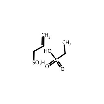 C=CCS(=O)(=O)O.CCS(=O)(=O)O